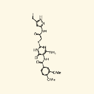 COc1ccc(C(=O)Nc2c(N)nc(SCC(=O)Nc3cc(CI)[nH]n3)[nH]c2=O)cc1OC